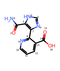 NC(=O)c1[nH]cnc1-c1ncccc1C(=O)O